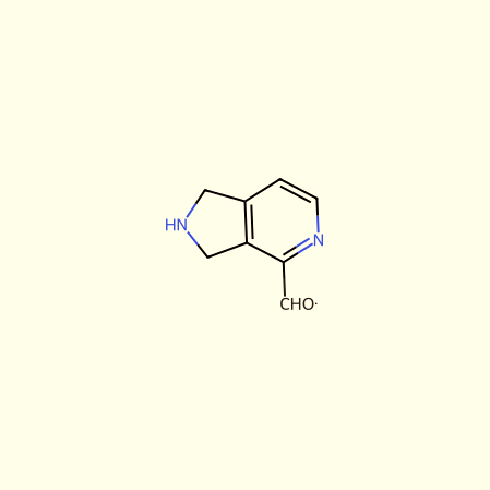 O=[C]c1nccc2c1CNC2